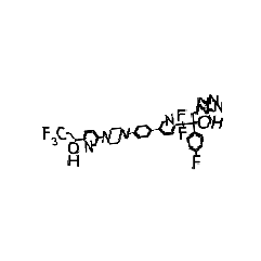 OC(CC(F)(F)F)c1ccc(N2CCN(c3ccc(-c4ccc(C(F)(F)[C@](O)(Cn5cnnn5)c5ccc(F)cc5)nc4)cc3)CC2)cn1